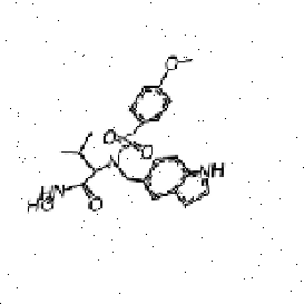 COc1ccc(S(=O)(=O)N(Cc2ccc3[nH]ccc3c2)C(C(=O)NO)C(C)C)cc1